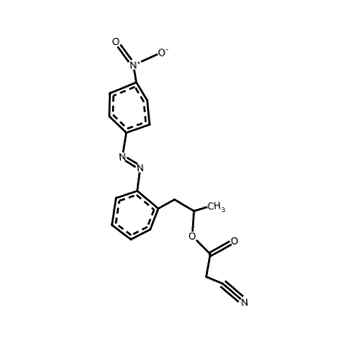 CC(Cc1ccccc1/N=N/c1ccc([N+](=O)[O-])cc1)OC(=O)CC#N